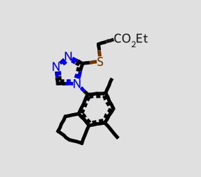 CCOC(=O)CSc1nncn1-c1c(C)cc(C)c2c1CCCC2